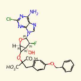 Nc1nc(Cl)nc2c1ncn2[C@@H]1O[C@@H]2C(OC(Cc3ccc(OCc4ccccc4)cc3)(C(=O)O)C(=O)O)[C@]2(O)[C@@H]1F